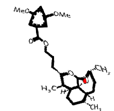 COc1cc(OC)cc(C(=O)OCCC[C@H]2OC3O[C@]4(C)CC[C@H]5[C@H](C)CC[C@@H]([C@H]2C)[C@@]35OO4)c1